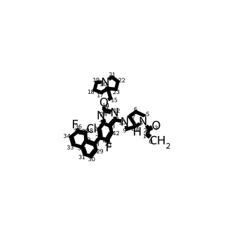 C=CC(=O)N1CCC2[C@H]1CN2c1nc(OCC23CCCN2CCC3)nc2cc(-c3cccc4ccc(F)c(Cl)c34)c(F)cc12